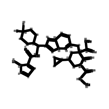 CCn1nccc1C(=O)NC(c1cn2nc(CC3(C(=O)OC)CC(C4CC4)CN(C(=O)OC(C)(C)C)C3=O)ccc2n1)C1CCC(F)(F)CC1